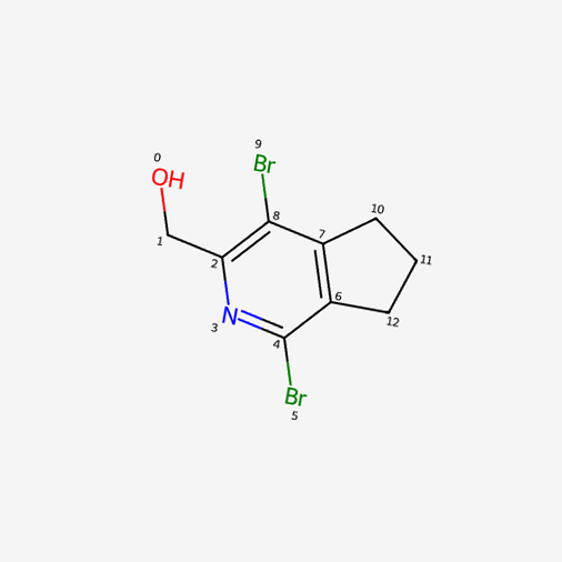 OCc1nc(Br)c2c(c1Br)CCC2